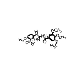 COc1cc(C(=O)NC(=N)Nc2ccc(C)c([N+](=O)[O-])c2)cc(OC)c1OC